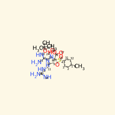 Cc1ccc(S(=O)(=O)[C@](CCCNC(=N)N)(C(=O)O)N(NC(=N)N)C(=O)OC(C)(C)C)cc1